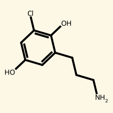 NCCCc1cc(O)cc(Cl)c1O